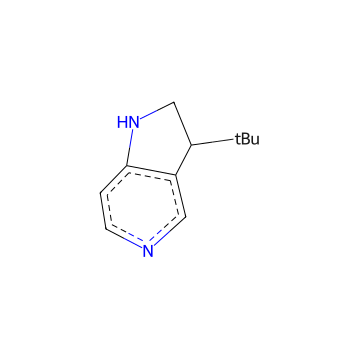 CC(C)(C)C1CNc2ccncc21